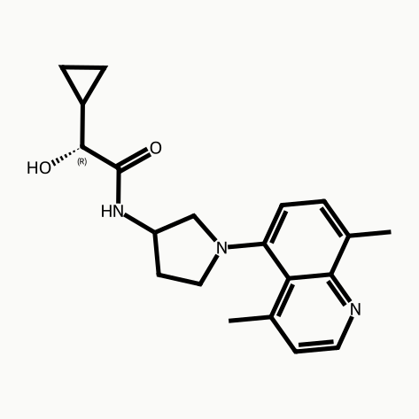 Cc1ccc(N2CCC(NC(=O)[C@H](O)C3CC3)C2)c2c(C)ccnc12